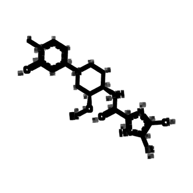 CCO[C@H]1CN(c2ccn(C)c(=O)c2)CC[C@H]1NC(=O)c1nc(Cl)c(CC)[nH]1